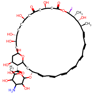 CC1OC(O[C@H]2/C=C/C=C/C=C/C=C/C=C/C=C/C=C/[C@H](C)[C@@H](O)[C@@H](C)[C@H](I)OC(=O)C[C@H](O)CC(=O)C[C@H](O)CC[C@@H](O)[C@H](O)C[C@]3(O)C[C@H](O)[C@@H](C(=O)O)C(C2)O3)C(O)C(N)C1O